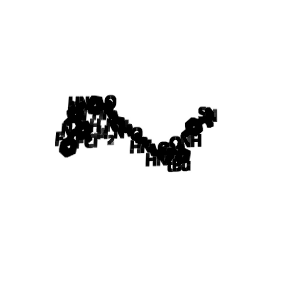 Cc1ncsc1-c1ccc(CNC(=O)C2CCCN2C(=O)C(NC(=O)CCNCCOCCN(N)/C=C(\N)CNC(=O)c2ccc(Nc3ncc4c(n3)-c3ccc(Cl)cc3C(C3=C(F)C=CCC3F)=NC4)cc2)C(C)(C)C)cc1